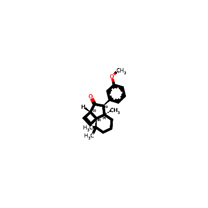 COc1cccc([C@@H]2C(=O)[C@H]3C=C[C@]34C(C)(C)CCC[C@]24C)c1